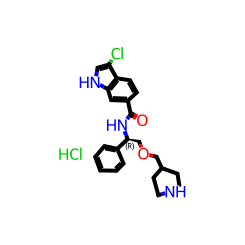 Cl.O=C(N[C@@H](COCC1CCNCC1)c1ccccc1)c1ccc2c(Cl)c[nH]c2c1